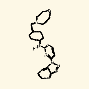 c1ccc2c(c1)nnn2-c1ccnc(NC2CCC(CN3CCOCC3)CC2)n1